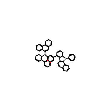 C1=CC(c2ccccc2)=C(N(c2cccc(-c3cccc4c3c3ccc5ccccc5c3n4-c3ccccc3)c2)c2cc3c(c4ccccc24)CCC=C3)CC1